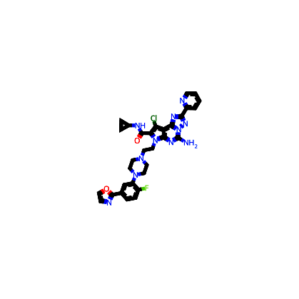 Nc1nc2c(c(Cl)c(C(=O)NC3CC3)n2CCN2CCN(c3cc(-c4ncco4)ccc3F)CC2)c2nc(-c3ccccn3)nn12